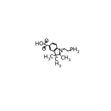 CC1=[N+](CCP)c2ccc(S(=O)(=O)O)cc2C1(C)C